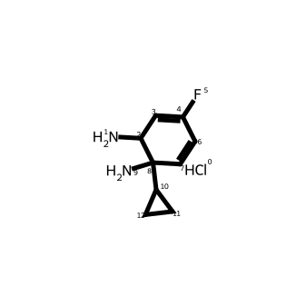 Cl.NC1C=C(F)C=CC1(N)C1CC1